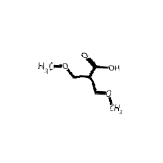 COC[C](COC)C(=O)O